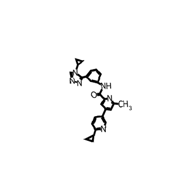 Cc1cc(-c2ccc(C3CC3)nc2)cc(C(=O)Nc2cccc(-c3nncn3C3CC3)c2)n1